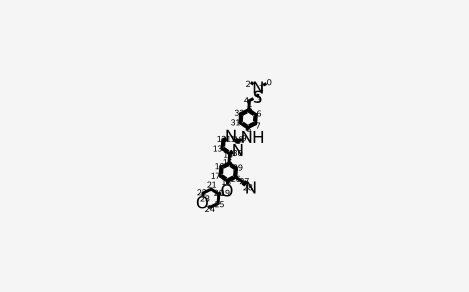 CN(C)SCc1ccc(Nc2nccc(-c3ccc(OC4CCOCC4)c(C#N)c3)n2)cc1